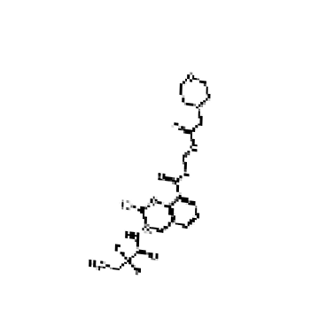 CCC(F)(F)C(=O)N[C@H]1Cc2cccc(C(=O)OCOC(=O)CC3CCOCC3)c2OB1O